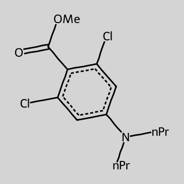 CCCN(CCC)c1cc(Cl)c(C(=O)OC)c(Cl)c1